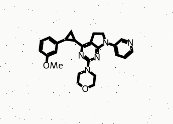 COc1cccc(C2CC2c2nc(N3CCOCC3)nc3c2CCN3c2cccnc2)c1